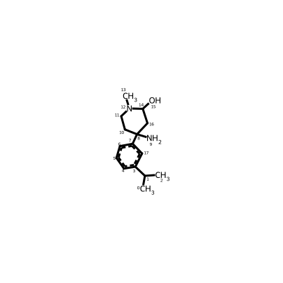 CC(C)c1cccc(C2(N)CCN(C)C(O)C2)c1